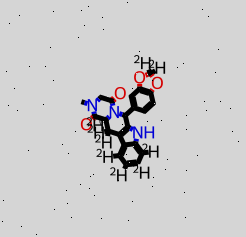 [2H]c1c([2H])c([2H])c2c3c([nH]c2c1[2H])C(c1ccc2c(c1)OC([2H])([2H])O2)N1C(=O)CN(C)C(=O)[C@@]1([2H])C3([2H])[2H]